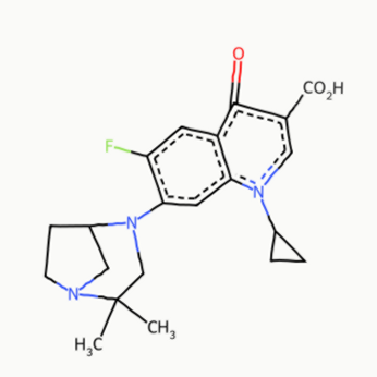 CC1(C)CN(c2cc3c(cc2F)c(=O)c(C(=O)O)cn3C2CC2)C2CCN1C2